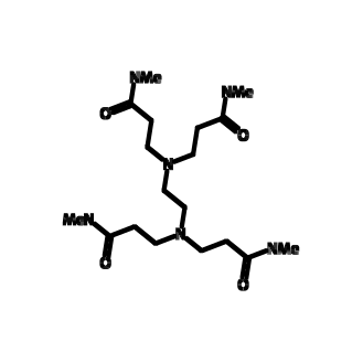 CNC(=O)CCN(CCC(=O)NC)CCN(CCC(=O)NC)CCC(=O)NC